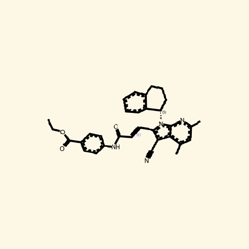 CCOC(=O)c1ccc(NC(=O)/C=C/c2c(C#N)c3c(C)cc(C)nc3n2[C@H]2CCCc3ccccc32)cc1